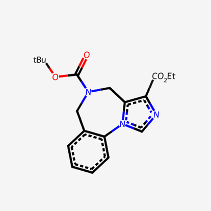 CCOC(=O)c1ncn2c1CN(C(=O)OC(C)(C)C)Cc1ccccc1-2